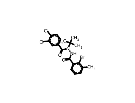 Cc1cccc(C(=O)NN(C(=O)c2ccc(Cl)c(Cl)c2)C(C)(C)C)c1Br